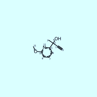 C#CC(C)(O)c1cccc(OC)n1